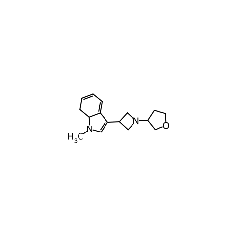 CN1C=C(C2CN(C3CCOC3)C2)C2=CC=CCC21